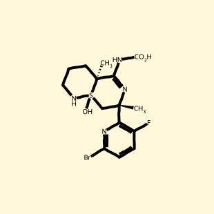 C[C@@]12CCCNS1(O)C[C@@](C)(c1nc(Br)ccc1F)N=C2NC(=O)O